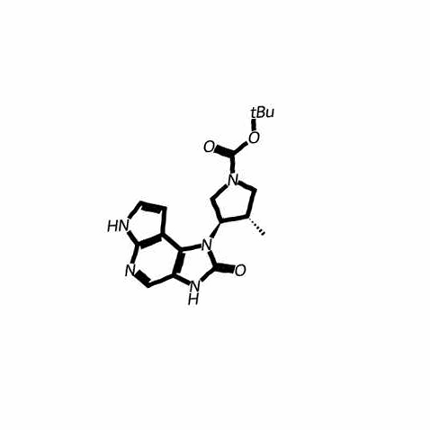 C[C@H]1CN(C(=O)OC(C)(C)C)C[C@@H]1n1c(=O)[nH]c2cnc3[nH]ccc3c21